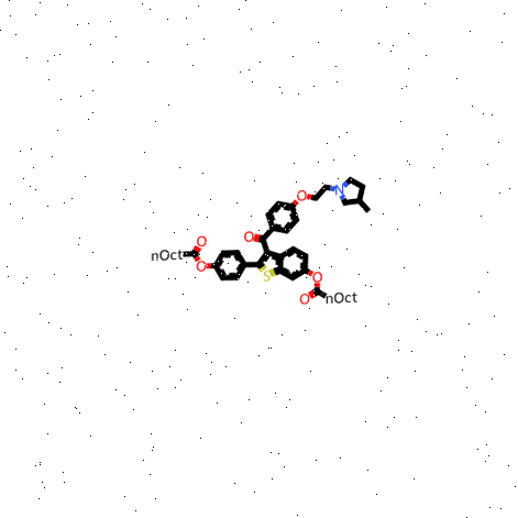 CCCCCCCCC(=O)Oc1ccc(-c2sc3cc(OC(=O)CCCCCCCC)ccc3c2C(=O)c2ccc(OCCN3CCC(C)C3)cc2)cc1